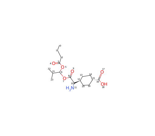 CCCC(=O)OC(OC(=O)C(N)[C@H]1CC[C@H](C(=O)O)CC1)C(C)C